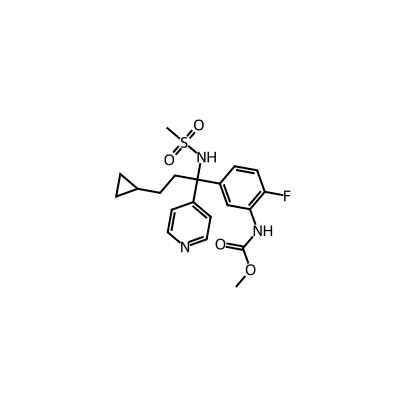 COC(=O)Nc1cc(C(CCC2CC2)(NS(C)(=O)=O)c2ccncc2)ccc1F